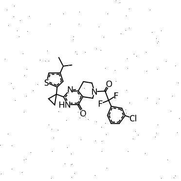 CC(C)c1csc(C2(c3nc4c(c(=O)[nH]3)CN(C(=O)C(F)(F)c3cccc(Cl)c3)CC4)CC2)c1